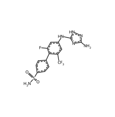 Nc1n[nH]c(Nc2cc(F)c(-c3ccc(S(N)(=O)=O)cc3)c(C(F)(F)F)c2)n1